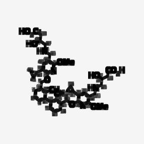 COc1nc(OCc2cccc(-c3cccc(COc4nc(OC)c(CNC[C@@H](O)CC(=O)O)cc4C4CC4)c3C)c2C)c(C2CC2)cc1CNC[C@@H](O)CC(=O)O